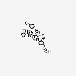 C[C@H]1CN(c2ncc(COCO)cc2C(F)(F)F)CCN1c1cc(-c2cncc(Cl)c2)nc(N2CCC[C@@H]2C)n1